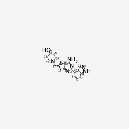 Nc1nc(-c2cccc3[nH]ncc23)nc2cc(CN3CCC(O)CC3)sc12